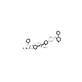 CN(C(=O)CC(CSc1ccccc1)Nc1ccc(S(=O)(=O)Nc2ncnc3cc(N4CCN(Cc5cc(Cl)ccc5-c5ccccc5)CC4)ccc23)cc1[N+](=O)[O-])C(C)(C)C